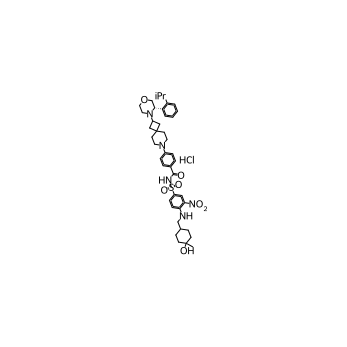 CC(C)c1ccccc1[C@H]1COCCN1C1CC2(CCN(c3ccc(C(=O)NS(=O)(=O)c4ccc(NCC5CCC(C)(O)CC5)c([N+](=O)[O-])c4)cc3)CC2)C1.Cl